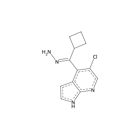 NN=C(c1c(Cl)cnc2[nH]ccc12)C1CCC1